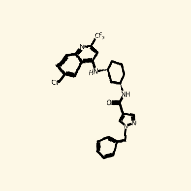 O=C(N[C@@H]1CCC[C@H](Nc2cc(C(F)(F)F)nc3ccc(Cl)cc23)C1)c1cnn(Cc2ccccc2)c1